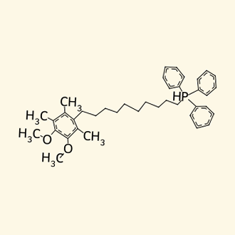 COc1c(C)c(C)c(CCCCCCCCCC[PH](c2ccccc2)(c2ccccc2)c2ccccc2)c(C)c1OC